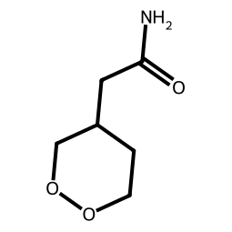 NC(=O)CC1CCOOC1